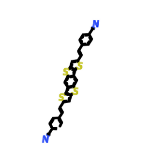 C=C(C#N)\C=C/C(/C=C/c1cc2sc3cc4c(cc3c2s1)sc1cc(/C=C/c2ccc(C#N)cc2)sc14)=C\C